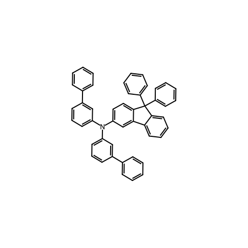 c1ccc(-c2cccc(N(c3cccc(-c4ccccc4)c3)c3ccc4c(c3)-c3ccccc3C4(c3ccccc3)c3ccccc3)c2)cc1